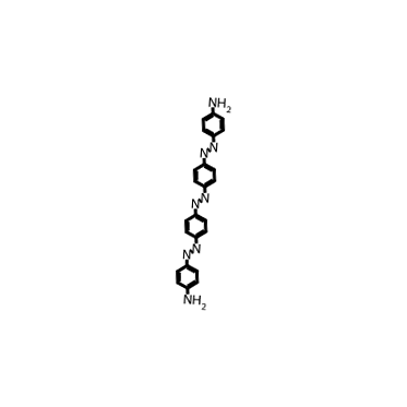 Nc1ccc(/N=N/c2ccc(/N=N/c3ccc(/N=N/c4ccc(N)cc4)cc3)cc2)cc1